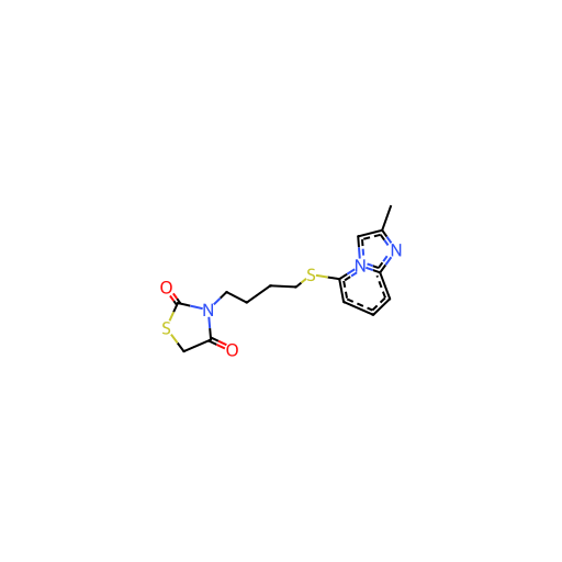 Cc1cn2c(SCCCCN3C(=O)CSC3=O)cccc2n1